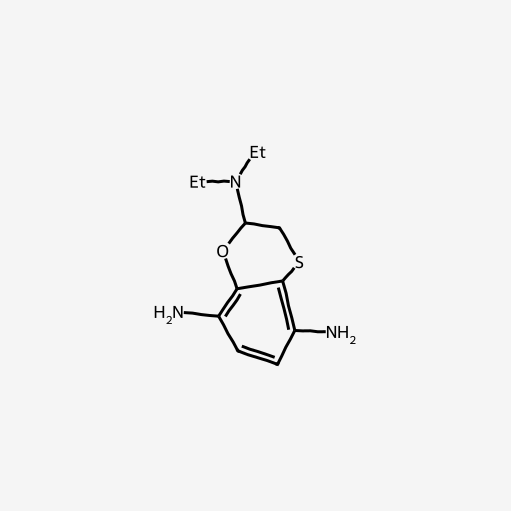 CCN(CC)C1CSc2c(N)ccc(N)c2O1